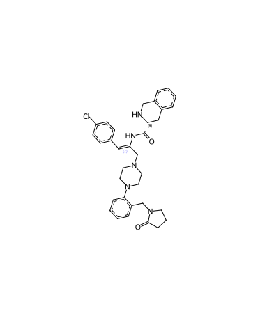 O=C(N/C(=C\c1ccc(Cl)cc1)CN1CCN(c2ccccc2CN2CCCC2=O)CC1)[C@H]1Cc2ccccc2CN1